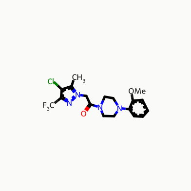 COc1ccccc1N1CCN(C(=O)Cn2nc(C(F)(F)F)c(Cl)c2C)CC1